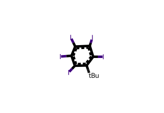 CC(C)(C)c1c(I)c(I)c(I)c(I)c1I